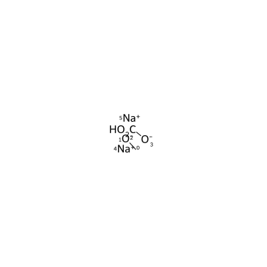 C[O-].O=C([O-])O.[Na+].[Na+]